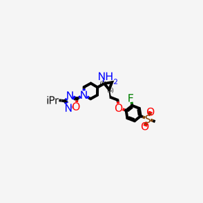 CC(C)c1noc(N2CCC([C@@]3(N)C[C@H]3CCOc3ccc(S(C)(=O)=O)cc3F)CC2)n1